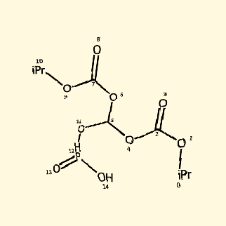 CC(C)OC(=O)OC(OC(=O)OC(C)C)O[PH](=O)O